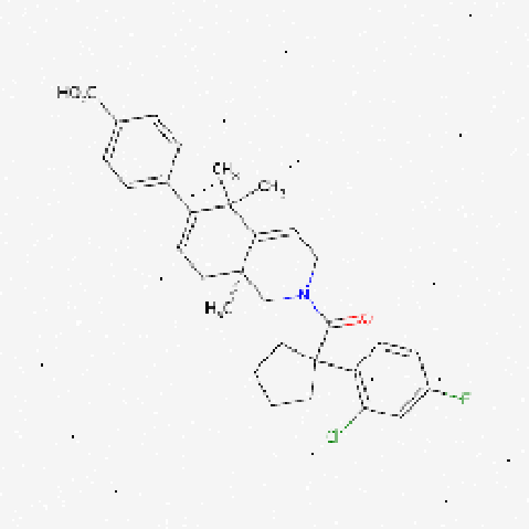 CC1(C)C(c2ccc(C(=O)O)cc2)=CC[C@]2(C)CN(C(=O)C3(c4ccc(F)cc4Cl)CCCC3)CC=C12